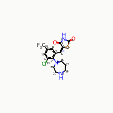 O=C1NC(=O)/C(=C\c2cc(C(F)(F)F)cc(Cl)c2N2CCCNCC2)S1